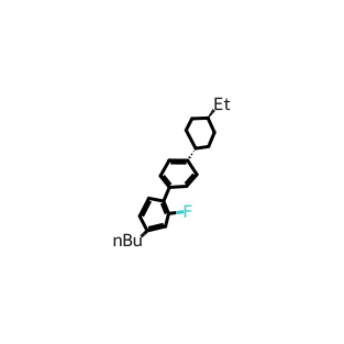 CCCCc1ccc(-c2ccc([C@H]3CC[C@H](CC)CC3)cc2)c(F)c1